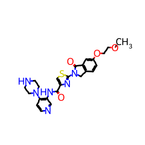 COCCOc1ccc2c(c1)C(=O)N(c1nc(C(=O)Nc3cnccc3N3CCNCC3)cs1)C2